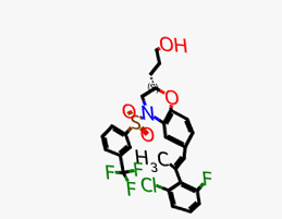 CC(=Cc1ccc2c(c1)N(S(=O)(=O)c1cccc(C(F)(F)F)c1)C[C@H](CCCO)O2)c1c(F)cccc1Cl